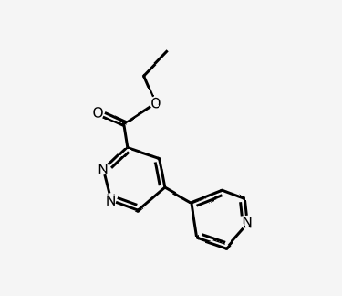 CCOC(=O)c1cc(-c2ccncc2)cnn1